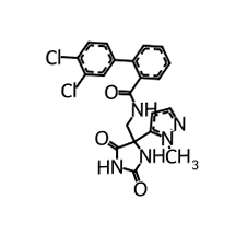 Cn1nccc1C1(CNC(=O)c2ccccc2-c2ccc(Cl)c(Cl)c2)NC(=O)NC1=O